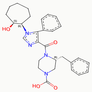 O=C(O)N1CCN(C(=O)c2ncn([C@@H]3CCCCC[C@@H]3O)c2-c2ccccc2)[C@H](Cc2ccccc2)C1